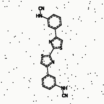 N#CNc1cccc(-c2csc(-c3nc(-c4cccc(NC#N)c4)cs3)n2)c1